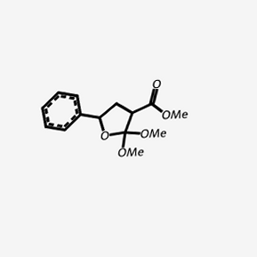 COC(=O)C1CC(c2ccccc2)OC1(OC)OC